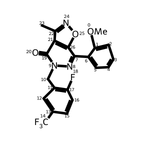 COc1ccccc1-c1nn(Cc2cc(C(F)(F)F)ccc2F)c(=O)c2c(C)noc12